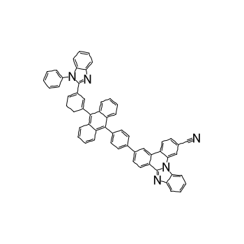 N#Cc1ccc2c3cc(-c4ccc(-c5c6ccccc6c(C6=CC(c7nc8ccccc8n7-c7ccccc7)=CCC6)c6ccccc56)cc4)ccc3c3nc4ccccc4n3c2c1